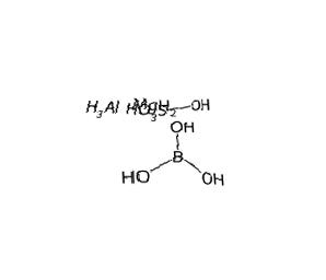 O=S(=O)(O)O.OB(O)O.[AlH3].[MgH2]